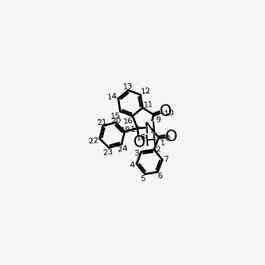 O=C(c1ccccc1)N1C(=O)c2ccccc2C1(O)c1ccccc1